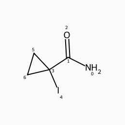 NC(=O)C1(I)CC1